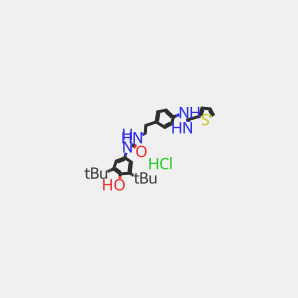 CC(C)(C)c1cc(NC(=O)NCCc2ccc(NC(=N)c3cccs3)cc2)cc(C(C)(C)C)c1O.Cl